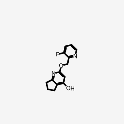 Oc1cc(OCc2ncccc2F)nc2c1CCC2